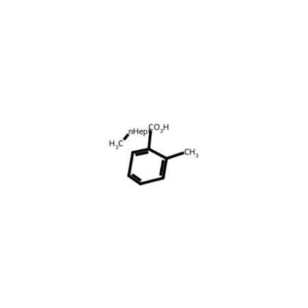 CCCCCCCC.Cc1ccccc1C(=O)O